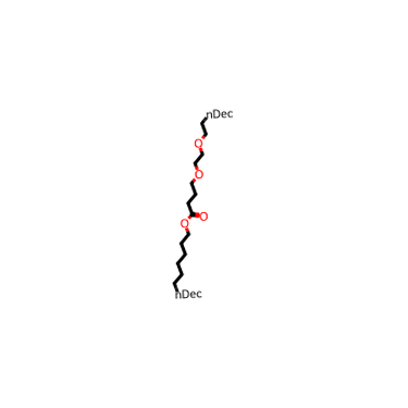 CCCCCCCCCCCCCCCCOC(=O)CCCOCCOCCCCCCCCCCCC